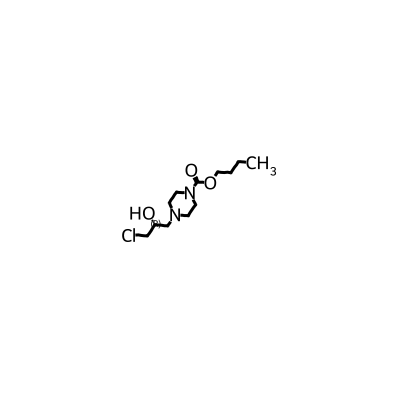 CCCCOC(=O)N1CCN(C[C@@H](O)CCl)CC1